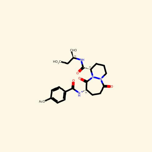 CC(=O)Oc1ccc(C(=O)N[C@H]2CCC(=O)N3CCC[C@@H](C(=O)N[C@H](C=O)CC(=O)O)N3C2=O)cc1